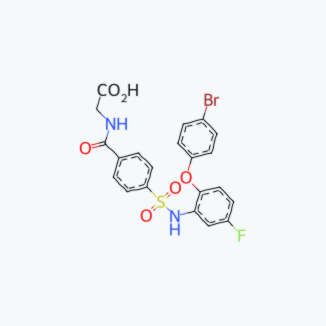 O=C(O)CNC(=O)c1ccc(S(=O)(=O)Nc2cc(F)ccc2Oc2ccc(Br)cc2)cc1